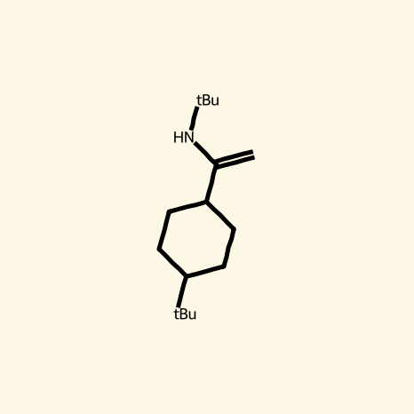 C=C(NC(C)(C)C)C1CCC(C(C)(C)C)CC1